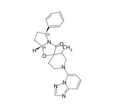 CC1CN(c2cccc3ncnn23)CCC12O[C@@H]1CC[C@@H](c3ccccc3)N1C2=O